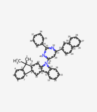 CC1(C)c2ccccc2-c2cc3c4ccccc4n(-c4cc(-c5ccc6ccccc6c5)nc(-c5ccccc5)n4)c3cc21